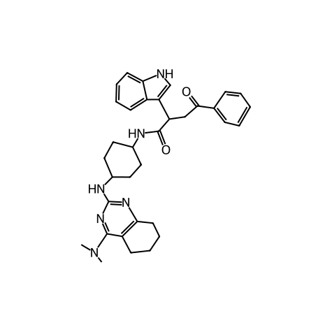 CN(C)c1nc(NC2CCC(NC(=O)C(CC(=O)c3ccccc3)c3c[nH]c4ccccc34)CC2)nc2c1CCCC2